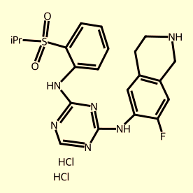 CC(C)S(=O)(=O)c1ccccc1Nc1ncnc(Nc2cc3c(cc2F)CNCC3)n1.Cl.Cl